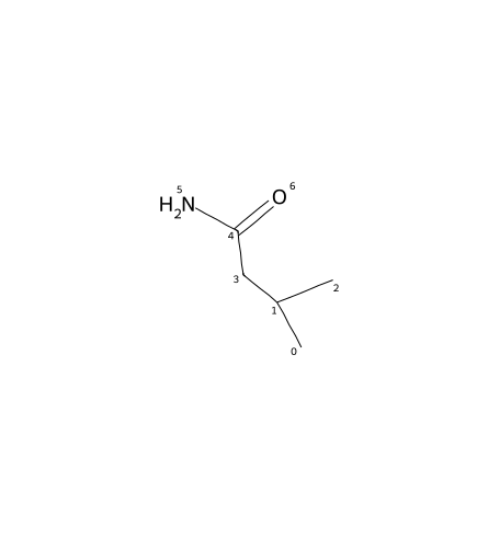 CC(C)CC(N)=O